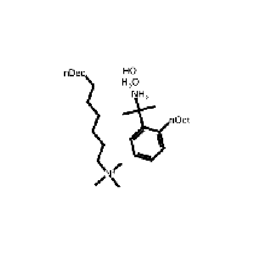 CCCCCCCCCCCCCCCC[N+](C)(C)C.CCCCCCCCc1ccccc1C(C)(C)N.O.[OH-]